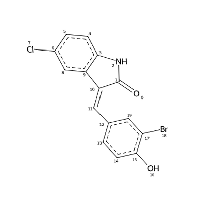 O=C1Nc2ccc(Cl)cc2/C1=C/c1ccc(O)c(Br)c1